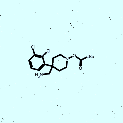 CC(C)(C)C(=O)ON1CCC(CN)(c2cccc(Cl)c2Cl)CC1